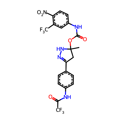 CC1(OC(=O)Nc2ccc([N+](=O)[O-])c(C(F)(F)F)c2)CC(c2ccc(NC(=O)C(F)(F)F)cc2)=NN1